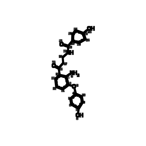 Nc1c(Oc2ccc(O)cc2)cccc1C(=O)CCNC(=O)c1ccc(O)cc1